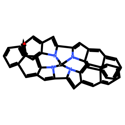 c1ccc2cc3c(cc4n3[Si]3(n5c-4cc4cc6ccccc6cc45)n4c(cc5cc6ccccc6cc54)-c4cc5cc6ccccc6cc5n43)cc2c1